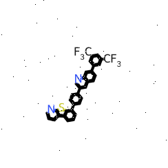 FC(F)(F)c1cc(-c2ccc3cc(-c4ccc(-c5cccc6c5sc5ncccc56)cc4)cnc3c2)cc(C(F)(F)F)c1